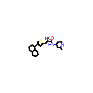 Cc1cc(NC(=O)/C(C#N)=C/c2cc(-c3cccc4ccccc34)cs2)ccn1